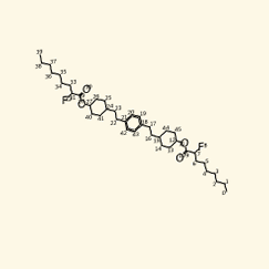 CCCCCCCC(F)C(=O)OC1CCC(CCc2ccc(CCC3CCC(OC(=O)C(F)CCCCCCC)CC3)cc2)CC1